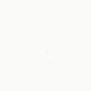 COc1ccc2cccc(C(O)CCC3(C(=O)O)CCN(B(C)O)CC3)c2c1